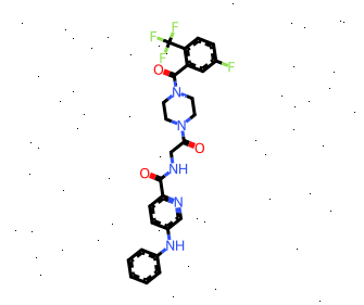 O=C(NCC(=O)N1CCN(C(=O)c2cc(F)ccc2C(F)(F)F)CC1)c1ccc(Nc2ccccc2)cn1